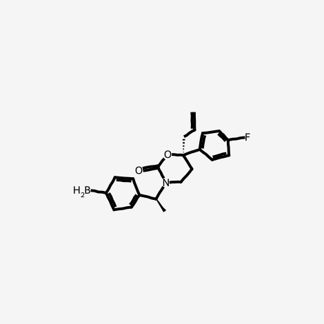 Bc1ccc([C@H](C)N2CC[C@](CC=C)(c3ccc(F)cc3)OC2=O)cc1